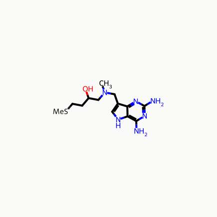 CSCCC(O)CN(C)Cc1c[nH]c2c(N)nc(N)nc12